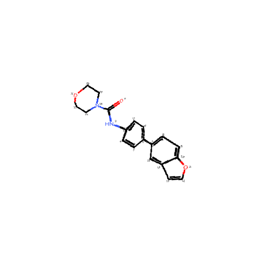 O=C(Nc1ccc(-c2ccc3occc3c2)cc1)N1CCOCC1